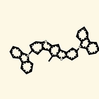 Cc1c2oc3ccc(-n4c5ccccc5c5ccccc54)cc3c2cc2oc3ccc(-n4c5ccccc5c5ccccc54)cc3c12